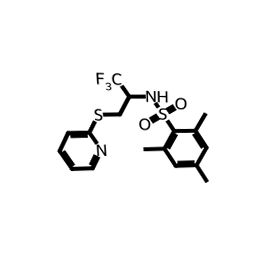 Cc1cc(C)c(S(=O)(=O)NC(CSc2ccccn2)C(F)(F)F)c(C)c1